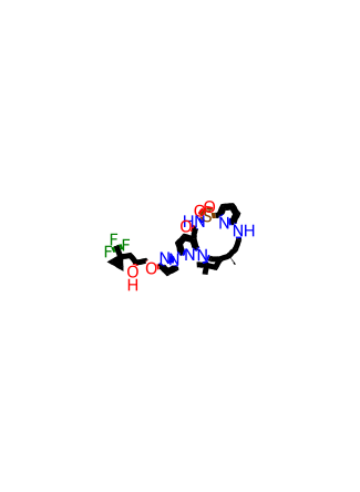 C[C@H]1CCNc2cccc(n2)S(=O)(=O)NC(=O)c2ccc(-n3ccc(OCC(O)CC4(C(F)(F)F)CC4)n3)nc2N2CC1CC2(C)C